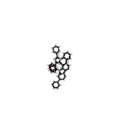 c1ccc(-c2ccc3c4ccc5c6ccccc6n6c(-c7ccccc7)nc(-c7ccccc7)c6c5c4n(-c4ccccc4)c3c2)cc1